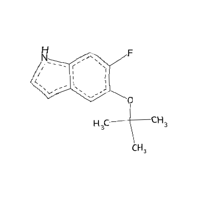 CC(C)(C)Oc1cc2cc[nH]c2cc1F